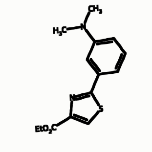 CCOC(=O)c1csc(-c2cccc(N(C)C)c2)n1